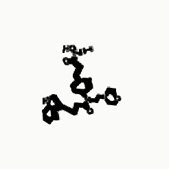 O=C(CCc1ccc(N(CCN2CCOCC2)C(=O)CCc2c[nH]c3ccccc23)cc1)NO